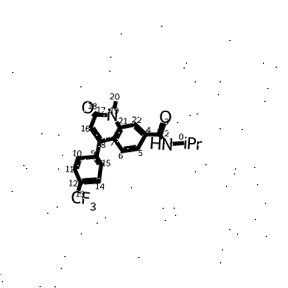 CC(C)NC(=O)c1ccc2c(-c3ccc(C(F)(F)F)cc3)cc(=O)n(C)c2c1